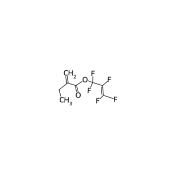 C=C(CC)C(=O)OC(F)(F)C(F)=C(F)F